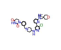 N#CC1(CNc2cccc(-c3cc(NC4CCN(Cc5cccc(N6CCC(=O)NC6=O)c5)CC4)ncc3Cl)n2)CCOCC1